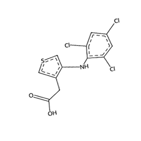 O=C(O)Cc1cscc1Nc1c(Cl)cc(Cl)cc1Cl